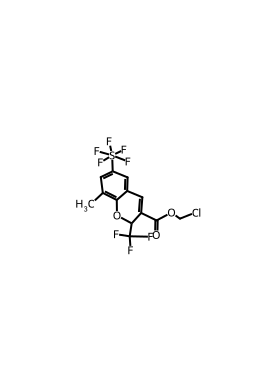 Cc1cc(S(F)(F)(F)(F)F)cc2c1OC(C(F)(F)F)C(C(=O)OCCl)=C2